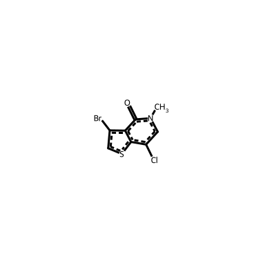 Cn1cc(Cl)c2scc(Br)c2c1=O